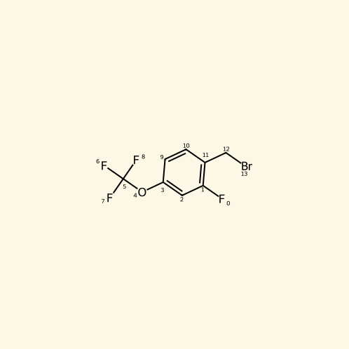 Fc1cc(OC(F)(F)F)ccc1CBr